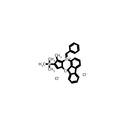 CC1=[C](/[Zr+2](=[CH]/c2ccccc2)[c]2cccc3c2Cc2ccccc2-3)C(C)C=C1[Si](C)(C)C.[Cl-].[Cl-]